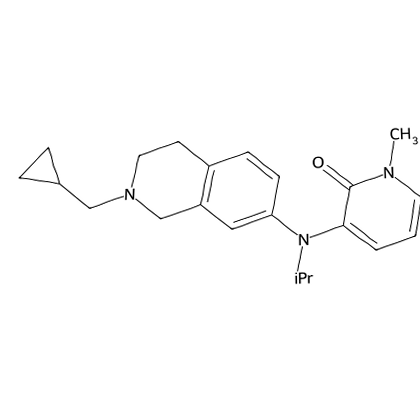 CC(C)N(c1ccc2c(c1)CN(CC1CC1)CC2)c1cccn(C)c1=O